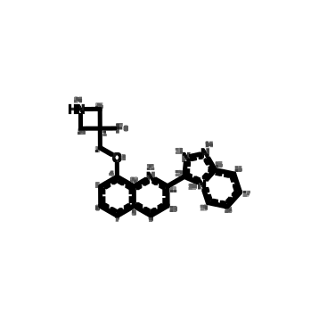 FC1(COc2cccc3ccc(-c4nnc5ccccn45)nc23)CNC1